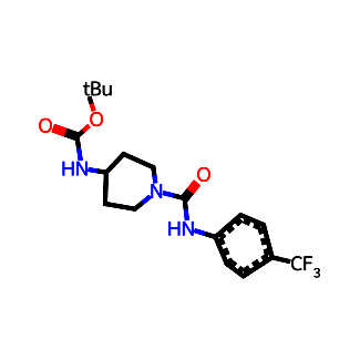 CC(C)(C)OC(=O)NC1CCN(C(=O)Nc2ccc(C(F)(F)F)cc2)CC1